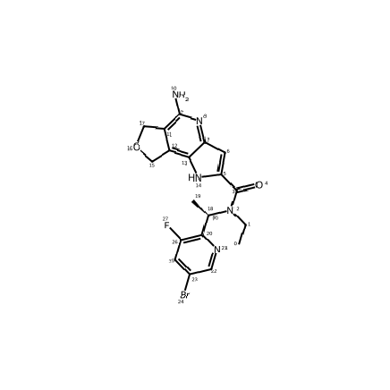 CCN(C(=O)c1cc2nc(N)c3c(c2[nH]1)COC3)[C@H](C)c1ncc(Br)cc1F